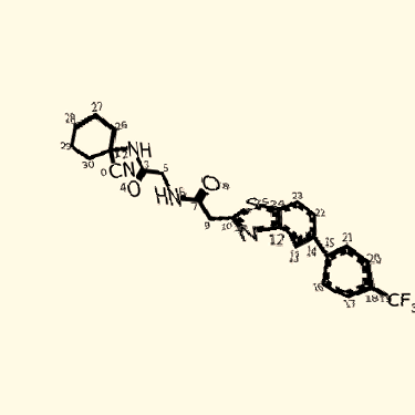 N#CC1(NC(=O)CNC(=O)Cc2nc3cc(-c4ccc(C(F)(F)F)cc4)ccc3s2)CCCCC1